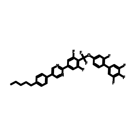 CCCCCc1ccc(-c2cnc(-c3cc(F)c(C(F)(F)Oc4ccc(-c5cc(F)c(F)c(F)c5)c(F)c4)c(F)c3)nc2)cc1